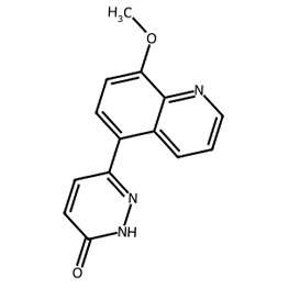 COc1ccc(-c2ccc(=O)[nH]n2)c2cccnc12